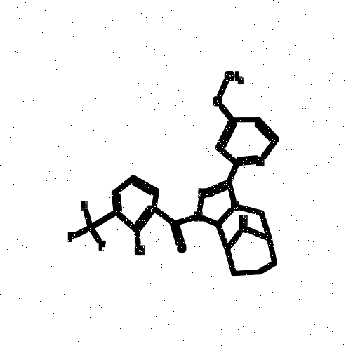 COc1ccnc(C2=NN(C(=O)c3cccc(C(F)(F)F)c3Cl)C3C4CCCC(CN23)N4)c1